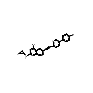 Cc1cc(NC2CC2)nc2ccc(C#Cc3ccc(-c4ccc(Cl)cc4)cn3)cc12